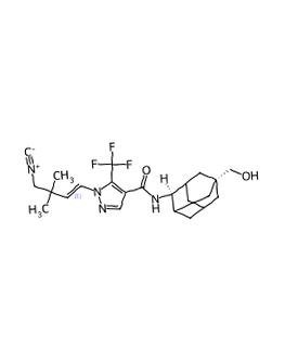 [C-]#[N+]CC(C)(C)/C=C/n1ncc(C(=O)N[C@H]2C3CC4CC2C[C@](CO)(C4)C3)c1C(F)(F)F